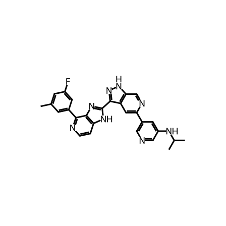 Cc1cc(F)cc(-c2nccc3[nH]c(-c4n[nH]c5cnc(-c6cncc(NC(C)C)c6)cc45)nc23)c1